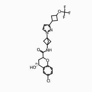 O=C(NC12CC(n3ccc(C4CC(OC(F)(F)F)C4)n3)(C1)C2)C1C[C@@H](O)c2cc(Cl)ccc2O1